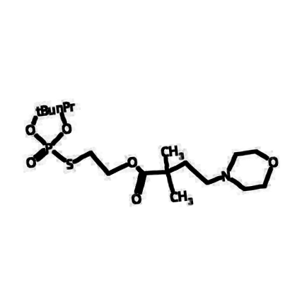 CCCOP(=O)(OC(C)(C)C)SCCOC(=O)C(C)(C)CCN1CCOCC1